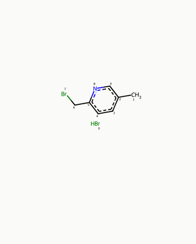 Br.Cc1ccc(CBr)nc1